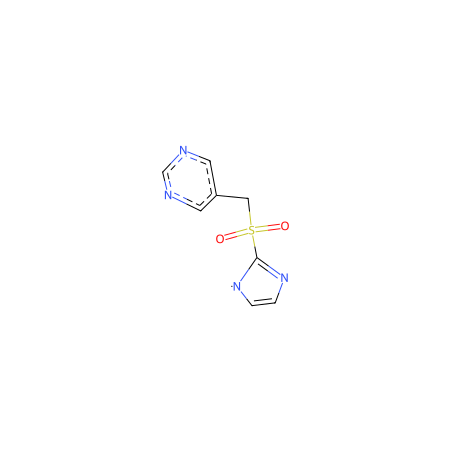 O=S(=O)(Cc1cncnc1)C1=NC=C[N]1